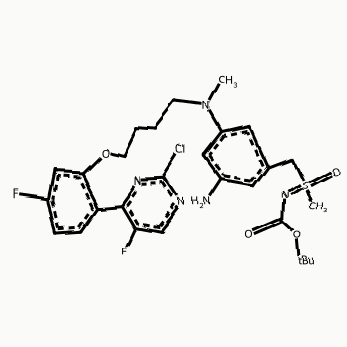 CN(CCCCOc1cc(F)ccc1-c1nc(Cl)ncc1F)c1cc(N)cc(CS(C)(=O)=NC(=O)OC(C)(C)C)c1